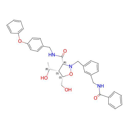 C[C@@H](O)[C@H]1[C@@H](CO)ON(Cc2cccc(CNC(=O)c3ccccc3)c2)[C@H]1C(=O)NCc1ccc(Oc2ccccc2)cc1